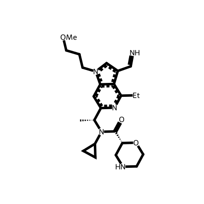 CCc1nc([C@@H](C)N(C(=O)[C@H]2CNCCO2)C2CC2)cc2c1c(C=N)cn2CCCOC